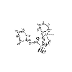 CC(C)(C)C1(c2ccccc2)NC(=N)N(Cc2ccccc2)O1